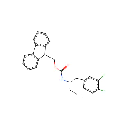 O=C(O)C[C@@H](Cc1ccc(Cl)c(Cl)c1)NC(=O)OCC1c2ccccc2-c2ccccc21